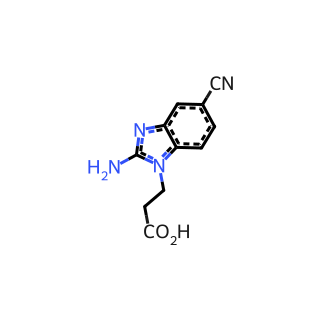 N#Cc1ccc2c(c1)nc(N)n2CCC(=O)O